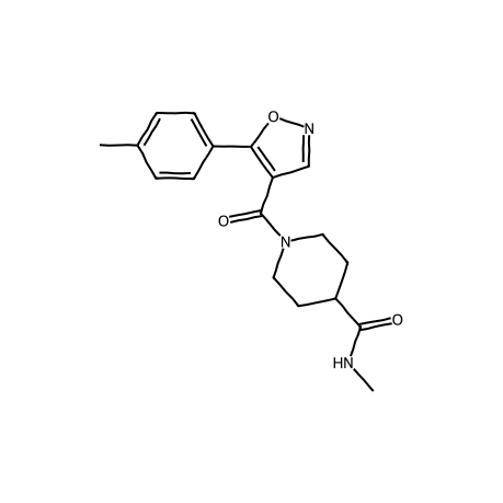 CNC(=O)C1CCN(C(=O)c2cnoc2-c2ccc(C)cc2)CC1